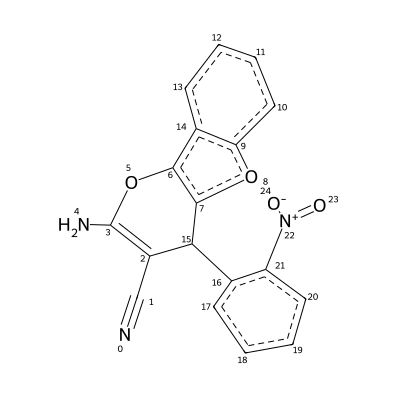 N#CC1=C(N)Oc2c(oc3ccccc23)C1c1ccccc1[N+](=O)[O-]